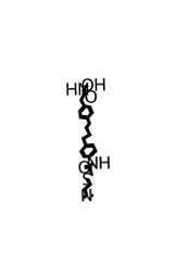 CN(C)CCSCC(=O)Nc1ccc(CCCCc2ccc(CC(=O)NO)cc2)cc1